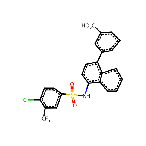 O=C(O)c1cccc(-c2ccc(NS(=O)(=O)c3ccc(Cl)c(C(F)(F)F)c3)c3ccccc23)c1